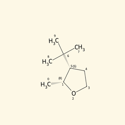 C[C@H]1OCC[C@H]1C(C)(C)C